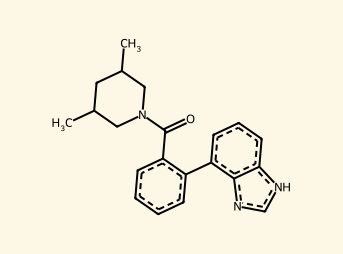 CC1CC(C)CN(C(=O)c2ccccc2-c2cccc3[nH]cnc23)C1